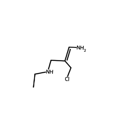 CCNC/C(=C/N)CCl